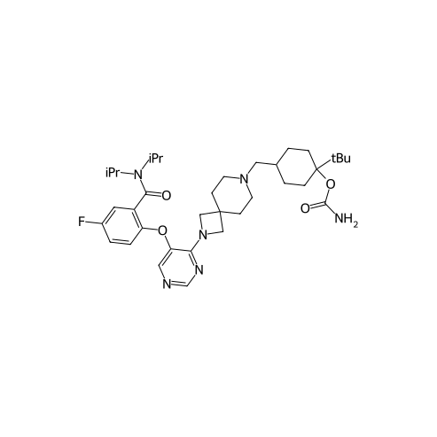 CC(C)N(C(=O)c1cc(F)ccc1Oc1cncnc1N1CC2(CCN(CC3CCC(OC(N)=O)(C(C)(C)C)CC3)CC2)C1)C(C)C